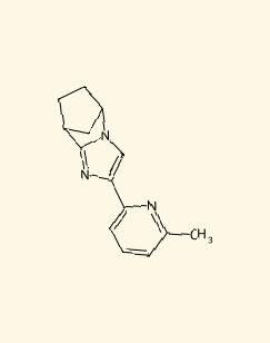 Cc1cccc(-c2cn3c(n2)C2CCC3C2)n1